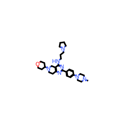 CN1CCN(c2ccc(-c3nc4c(c(NCCCN5CCCC5)n3)CN(C3CCOCC3)CC4)cc2)CC1